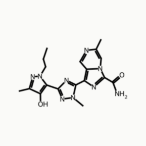 CCCn1nc(C)c(O)c1-c1nc(-c2nc(C(N)=O)n3cc(C)ncc23)n(C)n1